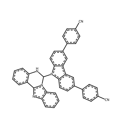 N#Cc1ccc(-c2ccc3c(c2)c2cc(-c4ccc(C#N)cc4)ccc2n3C2Nc3ccccc3-c3nc4ccccc4n32)cc1